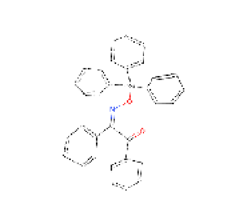 O=C(C(=NO[Si](c1ccccc1)(c1ccccc1)c1ccccc1)c1ccccc1)c1ccccc1